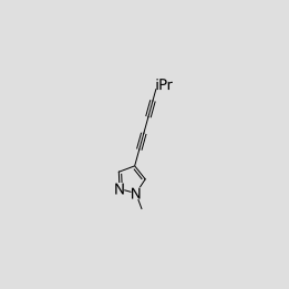 CC(C)C#CC#Cc1cnn(C)c1